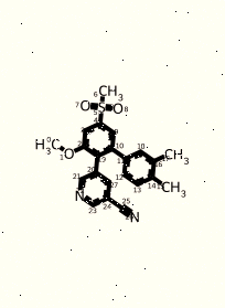 COc1cc(S(C)(=O)=O)cc(-c2ccc(C)c(C)c2)c1-c1cncc(C#N)c1